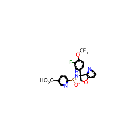 O=C(O)c1ccc([S+]([O-])N[C@@]2(c3ccc(OC(F)(F)F)c(F)c3)COc3cccnc32)nc1